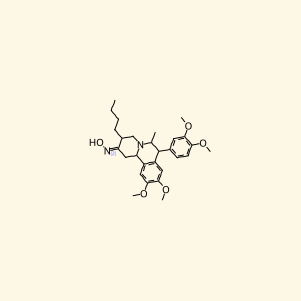 CCCCC1CN2C(C/C1=N/O)c1cc(OC)c(OC)cc1C(c1ccc(OC)c(OC)c1)C2C